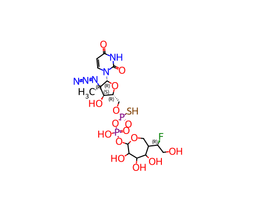 C[C@@]1(N=[N+]=[N-])[C@H](O)[C@@H](COP(=O)(S)OP(=O)(O)OC2OCC([C@@H](F)CO)C(O)C(O)C2O)O[C@H]1n1ccc(=O)[nH]c1=O